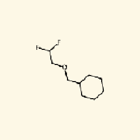 FC(F)COCC1CCCCC1